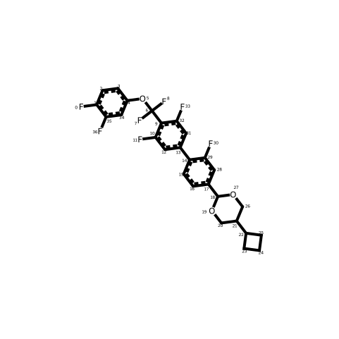 Fc1ccc(OC(F)(F)c2c(F)cc(-c3ccc(C4OCC(C5CCC5)CO4)cc3F)cc2F)cc1F